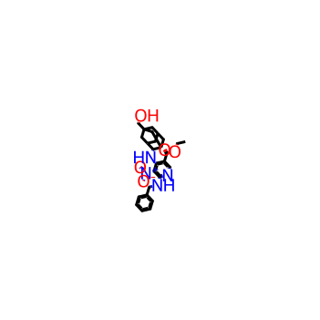 CCOC(=O)c1cnc(NCc2ccccc2)c([N+](=O)[O-])c1NC1C2CC3CC1CC(CO)(C3)C2